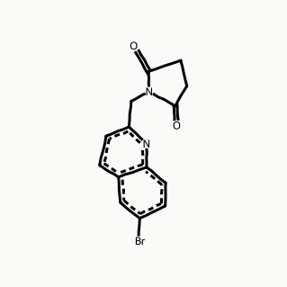 O=C1CCC(=O)N1Cc1ccc2cc(Br)ccc2n1